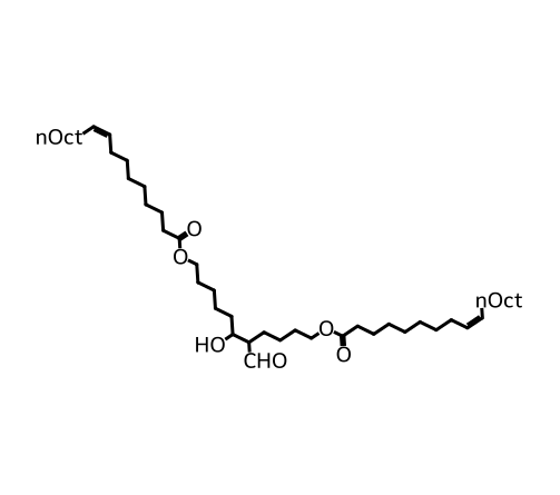 CCCCCCCC/C=C\CCCCCCCC(=O)OCCCCCC(O)C(C=O)CCCCOC(=O)CCCCCCC/C=C\CCCCCCCC